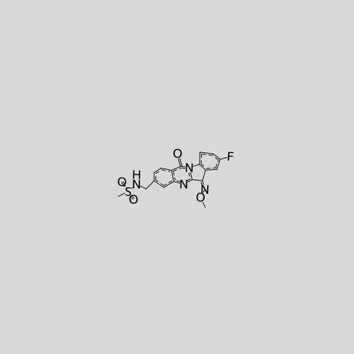 CON=C1c2cc(F)ccc2-n2c1nc1cc(CNS(C)(=O)=O)ccc1c2=O